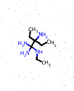 CCNC(N)(N)C(N)(CC)CC